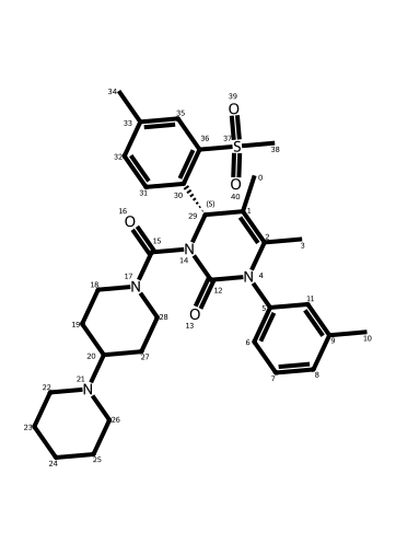 CC1=C(C)N(c2cccc(C)c2)C(=O)N(C(=O)N2CCC(N3CCCCC3)CC2)[C@@H]1c1ccc(C)cc1S(C)(=O)=O